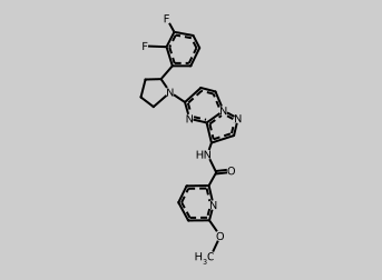 COc1cccc(C(=O)Nc2cnn3ccc(N4CCCC4c4cccc(F)c4F)nc23)n1